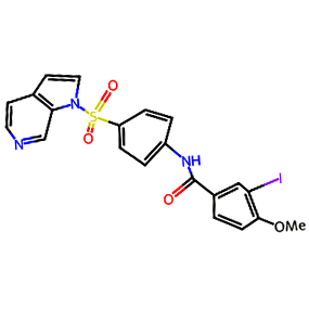 COc1ccc(C(=O)Nc2ccc(S(=O)(=O)n3ccc4ccncc43)cc2)cc1I